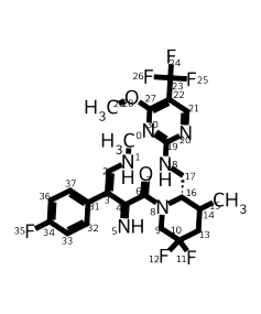 CN/C=C(\C(=N)C(=O)N1CC(F)(F)CC(C)[C@H]1CNc1ncc(C(F)(F)F)c(OC)n1)c1ccc(F)cc1